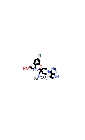 CC(C)(C)N(CC1(C(=O)N[C@@H](CCO)c2ccc(Cl)cc2)CCN(c2ncnc3[nH]ccc23)CC1)C(=O)O